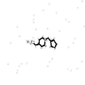 CCC1CCN(CC2CCCC2)CC1